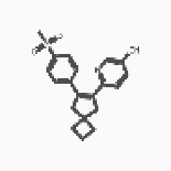 CS(=O)(=O)c1ccc(C2=C(c3ccc(C#N)cn3)CC3(CCC3)C2)cc1